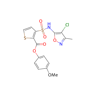 COc1ccc(OC(=O)c2sccc2S(=O)(=O)Nc2onc(C)c2Cl)cc1